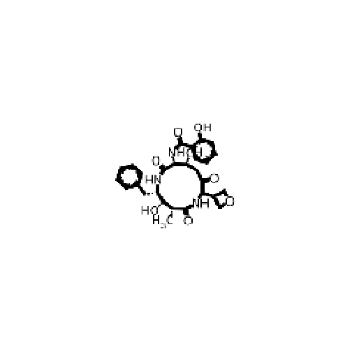 C[C@H]1CC(=O)C(C2COC2)NC(=O)[C@H](C)[C@H](O)[C@H](Cc2ccccc2)NC(=O)[C@H]1NC(=O)c1ccccc1O